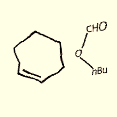 C1=CCCCC1.CCCCOC=O